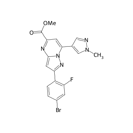 COC(=O)c1cc(-c2cnn(C)c2)n2nc(-c3ccc(Br)cc3F)cc2n1